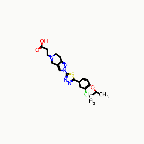 CC(C)OC1=C(Cl)CC(c2nnc(-n3cc4c(n3)CCN(CCC(=O)O)C4)s2)C=C1